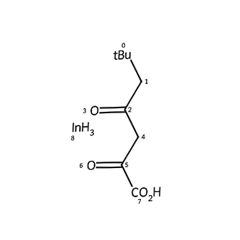 CC(C)(C)CC(=O)CC(=O)C(=O)O.[InH3]